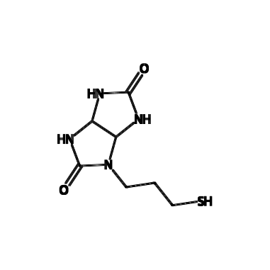 O=C1NC2NC(=O)N(CCCS)C2N1